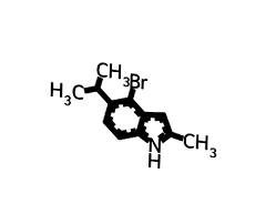 Cc1cc2c(Br)c(C(C)C)ccc2[nH]1